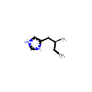 CC[C@H](C)Cc1c[nH]cn1